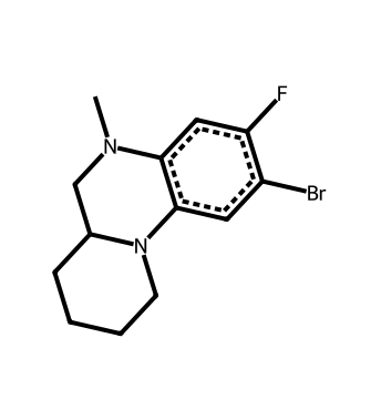 CN1CC2CCCCN2c2cc(Br)c(F)cc21